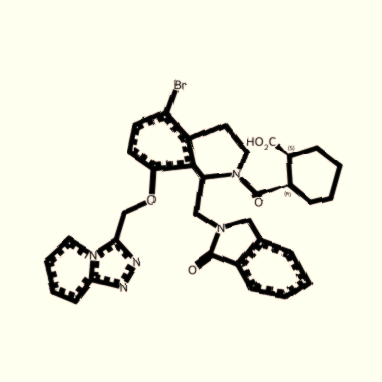 O=C(O)[C@H]1CCCC[C@H]1C(=O)N1CCc2c(Br)ccc(OCc3nnc4ccccn34)c2C1CN1Cc2ccccc2C1=O